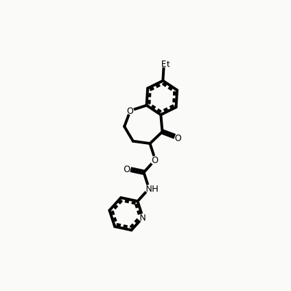 CCc1ccc2c(c1)OCCC(OC(=O)Nc1ccccn1)C2=O